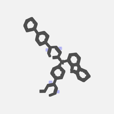 C=C/C=C(\C=C/C)c1ccc(N(C(=C)/C=C\C(=C/C)c2ccc(-c3ccccc3)cc2)c2cccc3c2sc2ccccc23)cc1